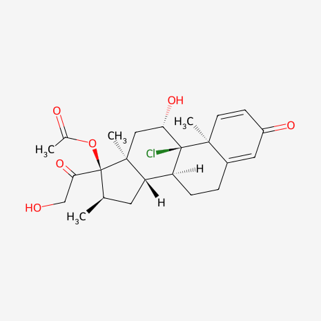 CC(=O)O[C@]1(C(=O)CO)[C@H](C)C[C@H]2[C@@H]3CCC4=CC(=O)C=C[C@]4(C)[C@@]3(Cl)[C@@H](O)C[C@@]21C